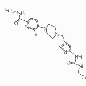 CCNC(=O)Nc1cn(CN2CCN(c3ccc(C(=O)NC)nc3F)CC2)nn1